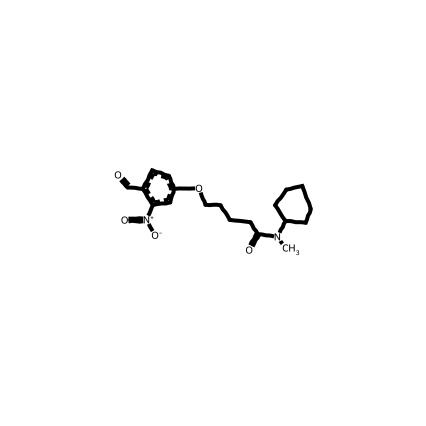 CN(C(=O)CCCCOc1ccc(C=O)c([N+](=O)[O-])c1)C1CCCCC1